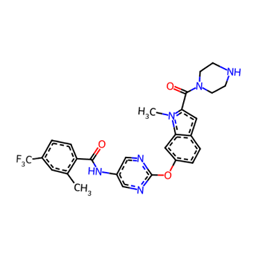 Cc1cc(C(F)(F)F)ccc1C(=O)Nc1cnc(Oc2ccc3cc(C(=O)N4CCNCC4)n(C)c3c2)nc1